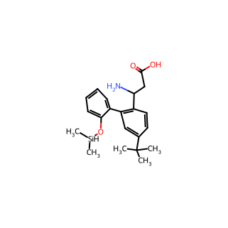 C[SiH](C)Oc1ccccc1-c1cc(C(C)(C)C)ccc1C(N)CC(=O)O